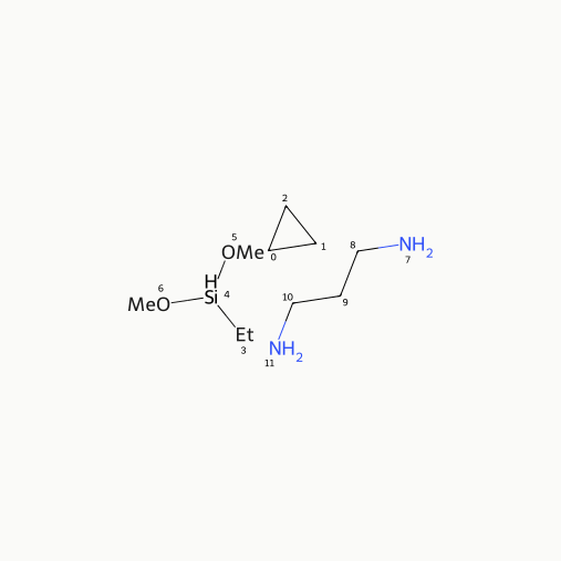 C1CC1.CC[SiH](OC)OC.NCCCN